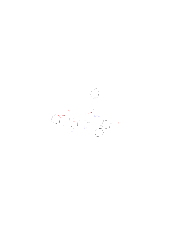 O=C(N[C@@H](Cc1ccc(O)cc1)C(=O)N1C(c2ccccc2)SC[C@H]1C(=O)N[C@@H](Cc1ccccc1)C(O)C(=O)O)OCc1ccccc1